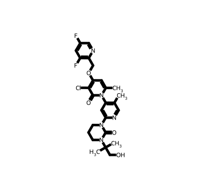 Cc1cnc(N2CCCN(C(C)(C)CO)C2=O)cc1-n1c(C)cc(OCc2ncc(F)cc2F)c(Cl)c1=O